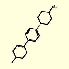 CCCC[C@H]1CC[C@H](c2ccc(C3=CCC(C)CC3)cc2)CC1